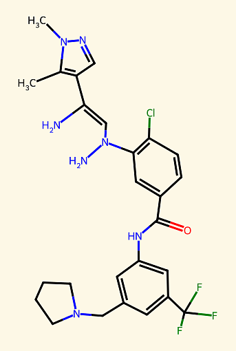 Cc1c(/C(N)=C/N(N)c2cc(C(=O)Nc3cc(CN4CCCC4)cc(C(F)(F)F)c3)ccc2Cl)cnn1C